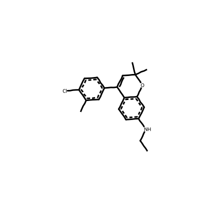 CCNc1ccc2c(c1)OC(C)(C)C=C2c1ccc(Cl)c(C)c1